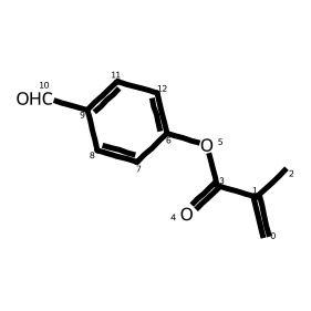 C=C(C)C(=O)Oc1ccc(C=O)cc1